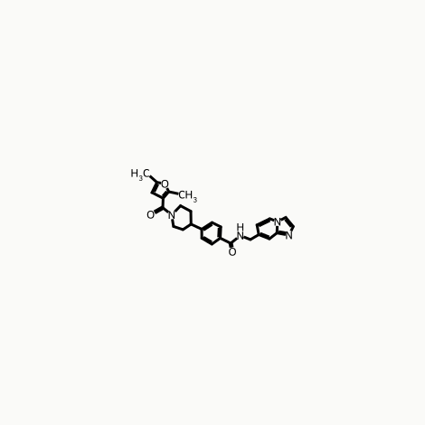 Cc1cc(C(=O)N2CCC(c3ccc(C(=O)NCc4ccn5ccnc5c4)cc3)CC2)c(C)o1